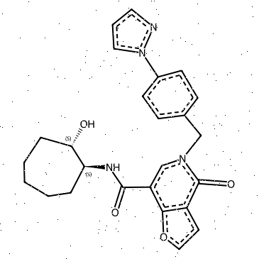 O=C(N[C@H]1CCCCC[C@@H]1O)c1cn(Cc2ccc(-n3cccn3)cc2)c(=O)c2ccoc12